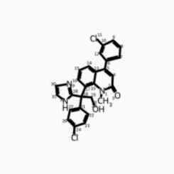 Cn1c(=O)cc(-c2cccc(Cl)c2)c2cccc(C(CO)(c3ccc(Cl)cc3)c3ncc[nH]3)c21